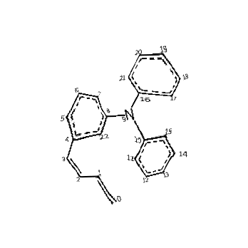 C=C/C=C\c1cccc(N(c2ccccc2)c2ccccc2)c1